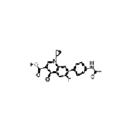 CC(=O)Nc1ccc(-c2cc3c(cc2F)c(=O)c(C(=O)O)cn3C2CC2)cc1